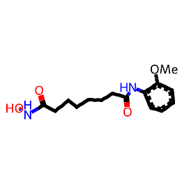 COc1ccccc1NC(=O)CCCCCCC(=O)NO